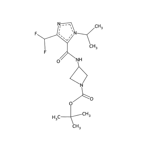 CC(C)n1cnc(C(F)F)c1C(=O)NC1CN(C(=O)OC(C)(C)C)C1